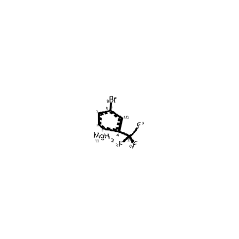 FC(F)(F)c1cccc(Br)c1.[MgH2]